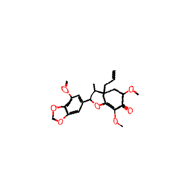 C=CCC12CC(OC)C(=O)C(OC)=C1OC(c1cc(OC)c3c(c1)OCO3)C2C